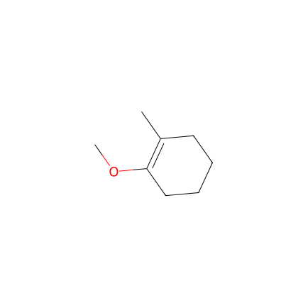 COC1=C(C)CCCC1